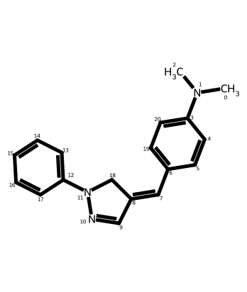 CN(C)c1ccc(C=C2C=NN(c3ccccc3)C2)cc1